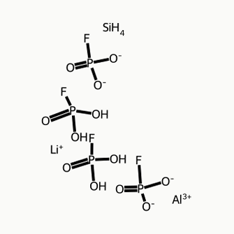 O=P(O)(O)F.O=P(O)(O)F.O=P([O-])([O-])F.O=P([O-])([O-])F.[Al+3].[Li+].[SiH4]